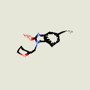 O=C(O)c1ccc2c(c1)nc(O)n2CC1CCO1